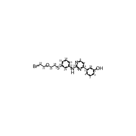 Oc1cccc(-c2ccnc(Nc3cccc(SCCOCCBr)c3)n2)c1